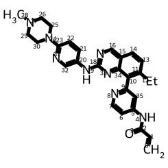 C=CC(=O)Nc1ccnc(-c2c(CC)ccc3cnc(Nc4ccc(N5CCN(C)CC5)nc4)nc23)c1